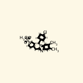 Cc1cc2nc(CC3CCN(S(C)(=O)=O)CC3)n(Cc3ccc(Cl)cc3)c2cc1C